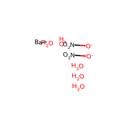 O.O.O.O.O.O=[N+]([O-])[O-].O=[N+]([O-])[O-].[Ba+2]